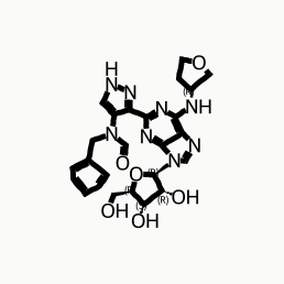 O=CN(Cc1ccccc1)c1c[nH]nc1-c1nc(N[C@@H]2CCOC2)c2ncn([C@@H]3O[C@H](CO)[C@@H](O)[C@H]3O)c2n1